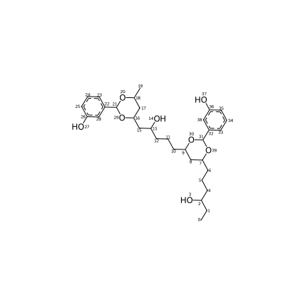 CCC(O)CCCC1CC(CCCC(O)CC2CC(C)OC(c3cccc(O)c3)O2)OC(c2cccc(O)c2)O1